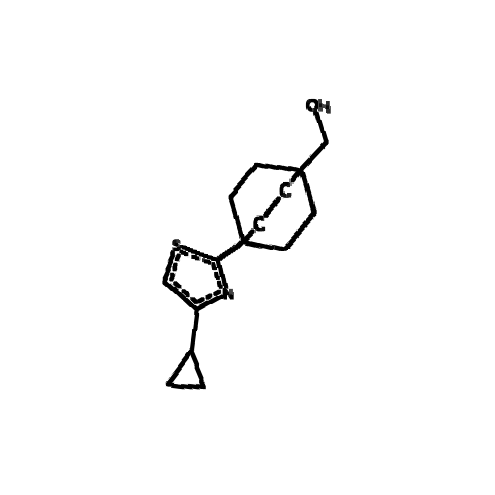 OCC12CCC(c3nc(C4CC4)cs3)(CC1)CC2